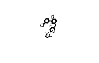 COc1ccc(Cc2ccc(N3[C@@H](C)CC[C@@H]3C)nc2)c(F)c1-c1cccc(Cl)c1